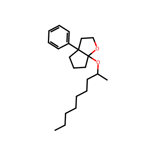 CCCCCCCC(C)OC12CCCC1(c1ccccc1)CCO2